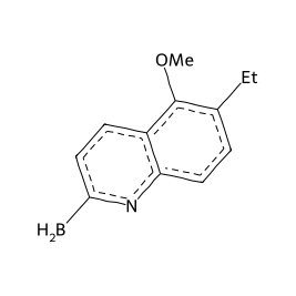 Bc1ccc2c(OC)c(CC)ccc2n1